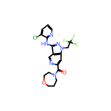 O=C(c1cc2c(cn1)c(Nc1ncccc1Cl)nn2CC(F)(F)F)N1CCCOCC1